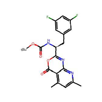 Cc1cc(C)c2c(=O)oc([C@H](Cc3cc(F)cc(F)c3)NC(=O)OC(C)(C)C)nc2n1